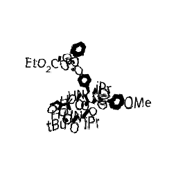 CCOC(=O)[C@H](C)OP(=O)(COc1ccc(C[C@H](NC(=O)O[C@H]2CO[C@H]3OCC[C@H]32)[C@@H](CN(CC(C)C)S(=O)(=O)c2ccc(OC)cc2)OC(=O)[C@@H](NC(=O)OC(C)(C)C)C(C)C)cc1)Oc1ccccc1